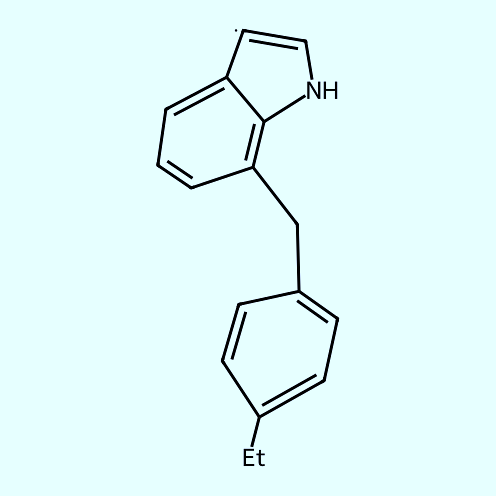 CCc1ccc(Cc2cccc3[c]c[nH]c23)cc1